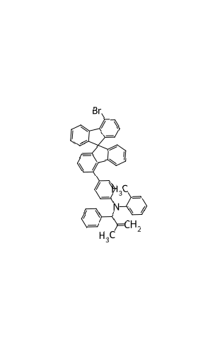 C=C(C)C(c1ccccc1)N(c1ccc(-c2cccc3c2-c2ccccc2C32c3ccccc3-c3c(Br)cccc32)cc1)c1ccccc1C